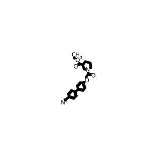 CCOC(=O)C1CCCN(C(=O)COc2ccc(-c3ccc(C#N)cc3)cc2)C1